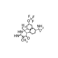 CN1C(=N)N[C@](C)(c2cccc(OC(F)(F)F)c2)[C@@H](c2ccc(C3(N)CC3)cc2)C1=O